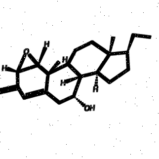 CC[C@H]1CC[C@H]2[C@@H]3[C@H](O)CC4=CC(=O)[C@@H]5O[C@@H]5[C@]4(C)[C@H]3CC[C@]12C